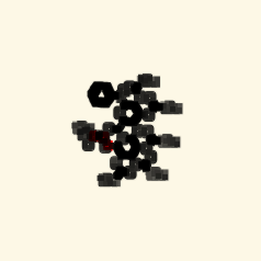 CC(C)(C)C(=O)OC[C@H]1O[C@@H](O[C@H]2[C@H](OC(=O)C(C)(C)C)[C@@H](OC(=O)C(C)(C)C)[C@H]([S+]([O-])c3ccccc3)O[C@@H]2COC(=O)C(C)(C)C)[C@H](OC(=O)C(C)(C)C)[C@@H](OC(=O)C(C)(C)C)[C@H]1OC(=O)C(C)(C)C